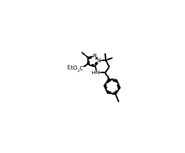 CCOC(=O)c1c(C)nn2c1NC(c1ccc(C)cc1)CC2(C)C